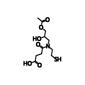 CC(=O)OCC(O)CN(CCS)C(=O)CCC(=O)O